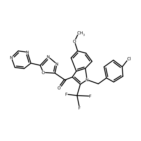 COc1ccc2c(c1)c(C(=O)c1nnc(-c3ccncn3)o1)c(C(F)(F)F)n2Cc1ccc(Cl)cc1